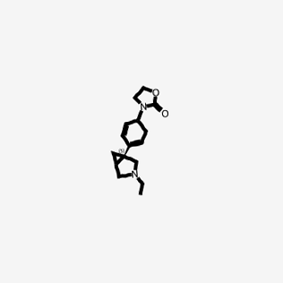 CCN1CC2C[C@]2(C2=CCC(N3CCOC3=O)C=C2)C1